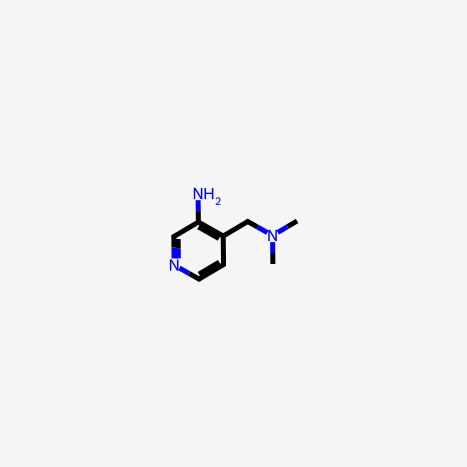 CN(C)Cc1ccncc1N